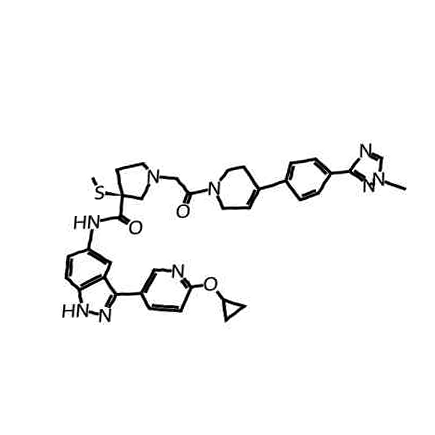 CS[C@@]1(C(=O)Nc2ccc3[nH]nc(-c4ccc(OC5CC5)nc4)c3c2)CCN(CC(=O)N2CC=C(c3ccc(-c4ncn(C)n4)cc3)CC2)C1